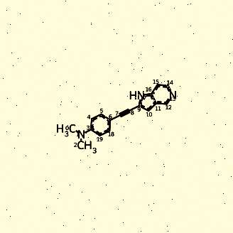 CN(C)c1ccc(C#Cc2cc3cnccc3[nH]2)cc1